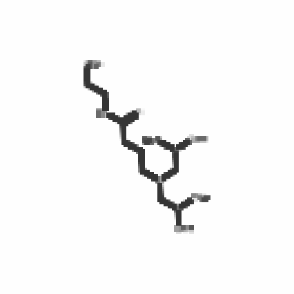 COP(CN(CCCC(=O)NCCNC(C)=O)CP(OC)OC)OC